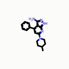 CC1CCN(c2cc(-c3ccccc3)c3c(N)n[nH]c3n2)CC1